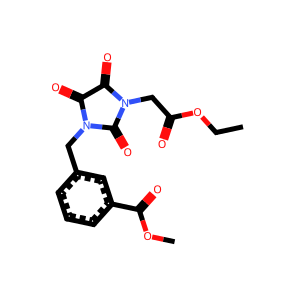 CCOC(=O)CN1C(=O)C(=O)N(Cc2cccc(C(=O)OC)c2)C1=O